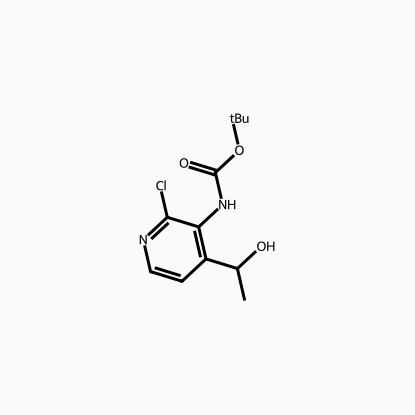 CC(O)c1ccnc(Cl)c1NC(=O)OC(C)(C)C